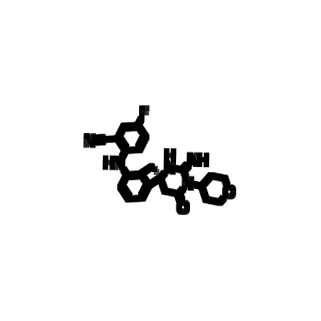 N#Cc1cc(F)ccc1Nc1cccc2c1C[C@]21CC(=O)N(C2CCOCC2)C(=N)N1